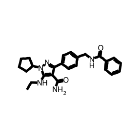 CCNc1c(C(N)=O)c(-c2ccc(CNC(=O)c3ccccc3)cc2)nn1C1CCCC1